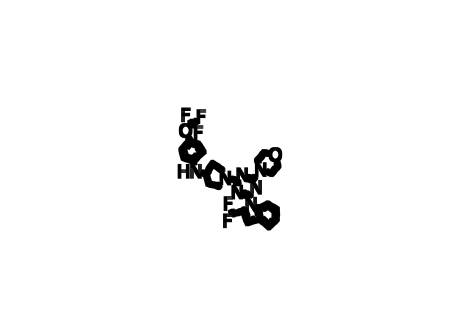 FC(F)c1cc2ccccc2n1-c1nc(N2CCOCC2)nc(N2CCC(Nc3ccc(OC(F)(F)F)cc3)CC2)n1